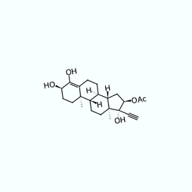 C#C[C@]1(O)[C@H](OC(C)=O)C[C@H]2[C@@H]3CCC4=C(O)[C@H](O)CC[C@]4(C)[C@H]3CC[C@@]21C